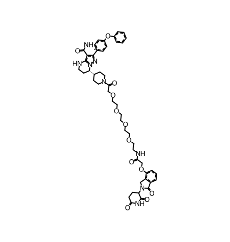 NC(=O)c1c(-c2ccc(Oc3ccccc3)cc2)nn2c1NCC[C@H]2C1CCN(C(=O)COCCOCCOCCOCCNC(=O)COc2cccc3c2CN(C2CCC(=O)NC2=O)C3=O)CC1